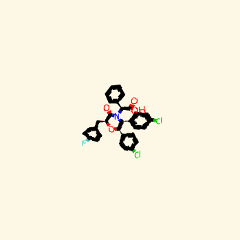 O=C(O)[C@H](c1ccccc1)N1C(=O)[C@H](Cc2ccc(F)cc2)O[C@@H](c2ccc(Cl)cc2)[C@H]1c1ccc(Cl)cc1